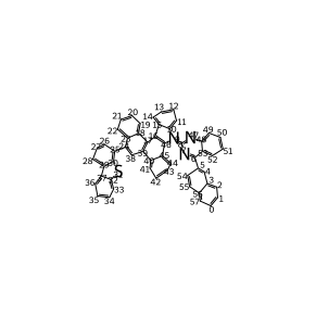 c1ccc2cc(-c3nc(-n4c5ccccc5c5c6c7ccccc7c(-c7cccc8c7sc7ccccc78)cc6c6ccccc6c54)nc4ccccc34)ccc2c1